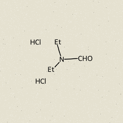 CCN(C=O)CC.Cl.Cl